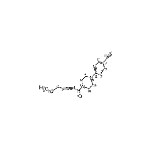 COCC#CC(=O)N1CCN(c2ccc(C#N)cn2)CC1